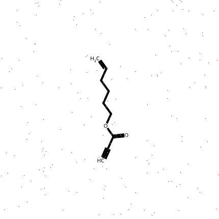 C#CC(=O)OCCCCC=C